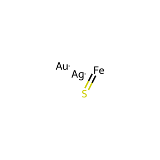 [Ag].[Au].[S]=[Fe]